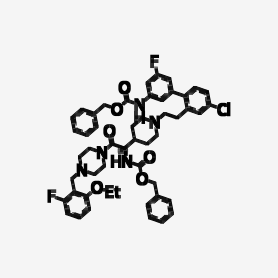 CCOc1cccc(F)c1CN1CCN(C(=O)[C@H](NC(=O)OCc2ccccc2)C2CCN(CCc3cc(Cl)ccc3-c3cc(F)cc(NC(=O)OCc4ccccc4)c3)CC2)CC1